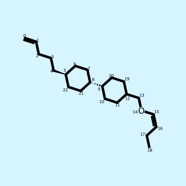 C=CCCC[C@H]1CC[C@H](C2CCC(CO/C=C\CC)CC2)CC1